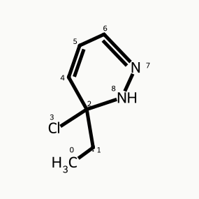 C[CH]C1(Cl)C=CC=NN1